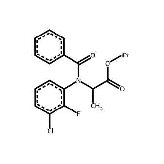 CC(C)OC(=O)C(C)N(C(=O)c1ccccc1)c1cccc(Cl)c1F